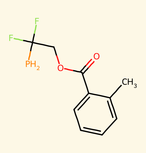 Cc1ccccc1C(=O)OCC(F)(F)P